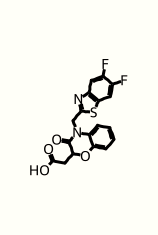 O=C(O)CC1Oc2ccccc2N(Cc2nc3cc(F)c(F)cc3s2)C1=O